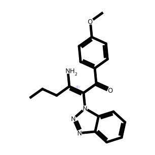 CCC/C(N)=C(/C(=O)c1ccc(OC)cc1)n1nnc2ccccc21